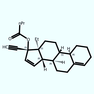 C#C[C@]1(OC(=O)CCC)C=C[C@H]2[C@@H]3CCC4=CCCC[C@@H]4[C@H]3CC[C@@]21CC